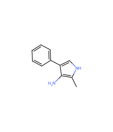 Cc1[nH]cc(-c2ccccc2)c1N